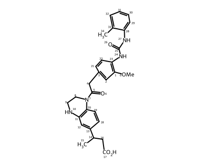 COc1cc(CC(=O)N2CCNc3cc(C(C)CC(=O)O)ccc32)ccc1NC(=O)Nc1ccccc1C